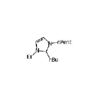 CCCCCN1C=CN(CC)C1CCCC